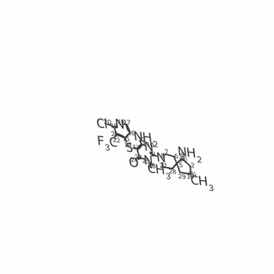 C[C@H]1C[C@@H](N)C2(CCN(c3nc(N)c(Sc4ccnc(Cl)c4C(F)(F)F)c(=O)n3C)CC2)C1